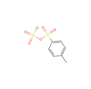 Cc1ccc(S(=O)(=O)OS(=O)(=O)Cl)cc1